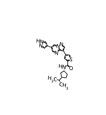 CC(C)C1CC[C@@H](NC(=O)c2cc(-c3cnn4cc(-c5cn[nH]c5)cnc34)cs2)C1